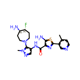 Cc1ccncc1-c1nc(C(=O)Nc2cnn(C)c2N2CC[C@@H](N)[C@H](F)CC2)c(N)s1